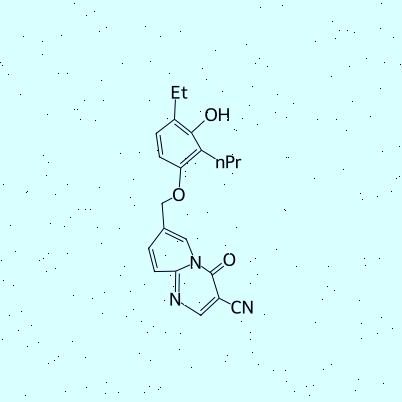 CCCc1c(OCc2ccc3ncc(C#N)c(=O)n3c2)ccc(CC)c1O